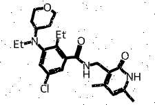 CCc1c(C(=O)NCc2c(C)cc(C)[nH]c2=O)cc(Cl)cc1N(CC)C1CCOCC1